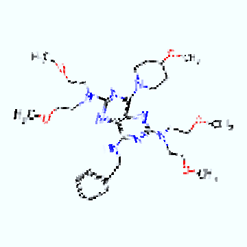 COCCN(CCOC)c1nc(N2CCC(OC)CC2)c2nc(N(CCOC)CCOC)nc(NCc3ccccc3)c2n1